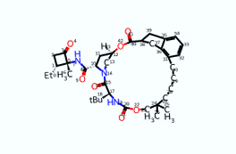 CC[C@@H]1CC(=O)[C@]1(C)NC(=O)[C@@H]1C[C@@H]2CN1C(=O)[C@H](C(C)(C)C)NC(=O)OCC(C)(C)CCCCc1cccc3c1CC(C3)C(=O)O2